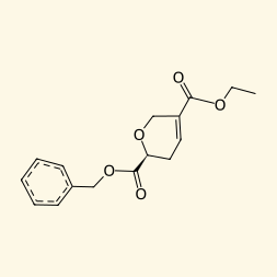 CCOC(=O)C1=CC[C@@H](C(=O)OCc2ccccc2)OC1